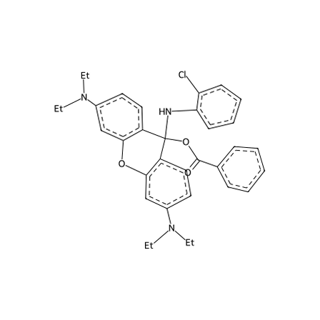 CCN(CC)c1ccc2c(c1)Oc1cc(N(CC)CC)ccc1C2(Nc1ccccc1Cl)OC(=O)c1ccccc1